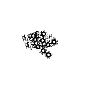 Cc1cccc(C)c1-c1cc2c3c(c1)N1c4cc5c(cc4C(C)(C)c4cccc(c41)B3N(c1cccc(-c3ccccc3)c1)c1ccc(-c3ccccc3)cc1-2)C(C)(C)CCC5(C)C